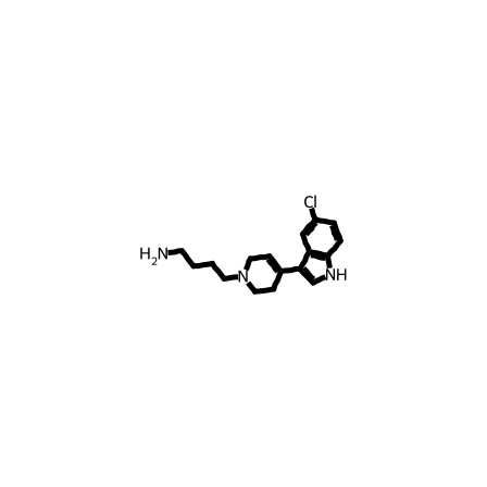 NCCCCN1CC=C(c2c[nH]c3ccc(Cl)cc23)CC1